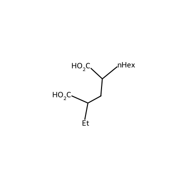 CCCCCCC(CC(CC)C(=O)O)C(=O)O